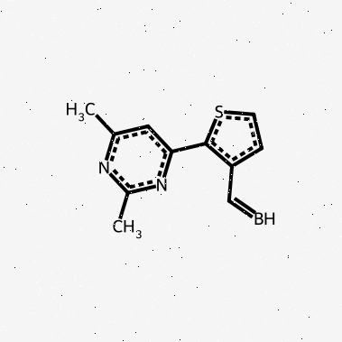 B=Cc1ccsc1-c1cc(C)nc(C)n1